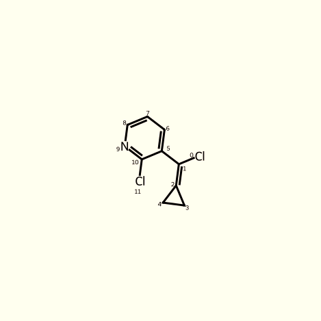 ClC(=C1CC1)c1cccnc1Cl